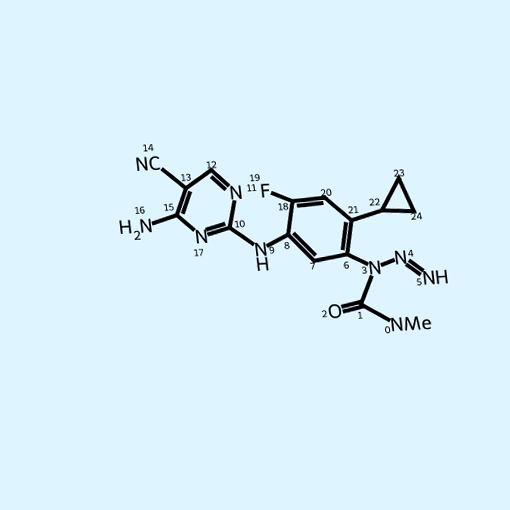 CNC(=O)N(N=N)c1cc(Nc2ncc(C#N)c(N)n2)c(F)cc1C1CC1